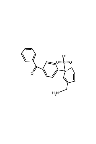 CCS(=O)(=O)[N+]1(c2ccc(C(=O)c3ccccc3)cc2)C=C(CN)C=CC1